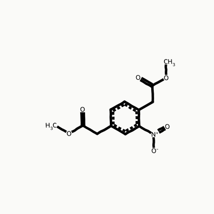 COC(=O)Cc1ccc(CC(=O)OC)c([N+](=O)[O-])c1